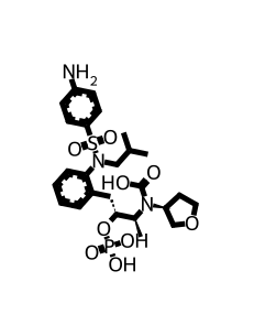 CC(C)CN(c1ccccc1C[C@@H](OP(=O)(O)O)[C@H](C)N(C(=O)O)[C@H]1CCOC1)S(=O)(=O)c1ccc(N)cc1